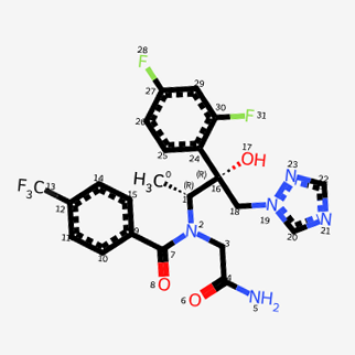 C[C@@H](N(CC(N)=O)C(=O)c1ccc(C(F)(F)F)cc1)[C@](O)(Cn1cncn1)c1ccc(F)cc1F